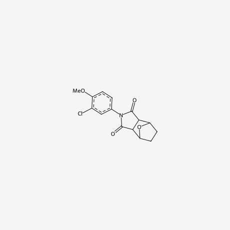 COc1ccc(N2C(=O)C3C4CCC(O4)C3C2=O)cc1Cl